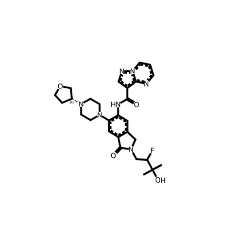 CC(C)(O)C(F)CN1Cc2cc(NC(=O)c3cnn4cccnc34)c(N3CCN([C@@H]4CCOC4)CC3)cc2C1=O